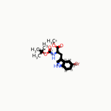 COC(=O)C(Cc1c[nH]c2ccc(Br)cc12)NC(=O)OC(C)(C)C